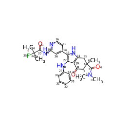 CN(C)C(=O)C1(C)CC(=O)c2c([nH]c(-c3ccnc(NC(=O)C(C)(C)F)c3)c2Nc2ccccc2)C1